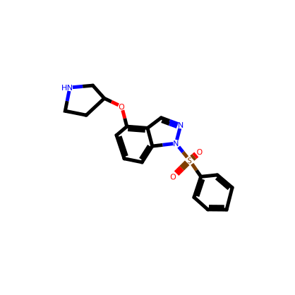 O=S(=O)(c1ccccc1)n1ncc2c(OC3CCNC3)cccc21